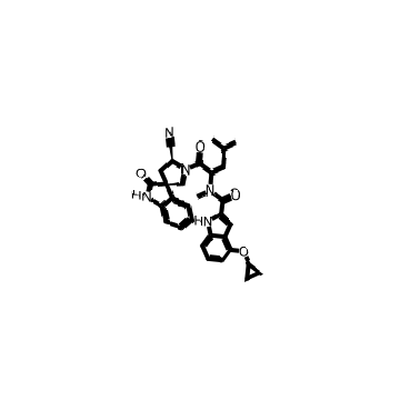 CC(C)CC(C(=O)N1C[C@]2(C[C@H]1C#N)C(=O)Nc1ccccc12)N(C)C(=O)c1cc2c(OC3CC3)cccc2[nH]1